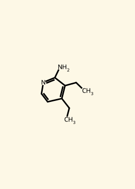 CCc1ccnc(N)c1CC